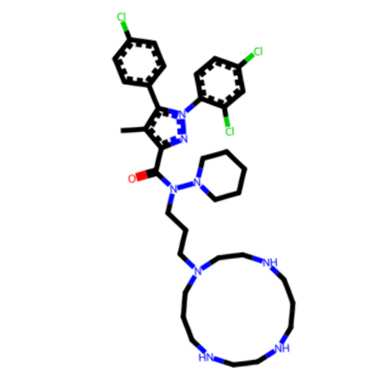 Cc1c(C(=O)N(CCCN2CCCNCCNCCCNCC2)N2CCCCC2)nn(-c2ccc(Cl)cc2Cl)c1-c1ccc(Cl)cc1